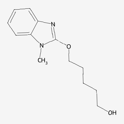 Cn1c(OCCCCCO)nc2ccccc21